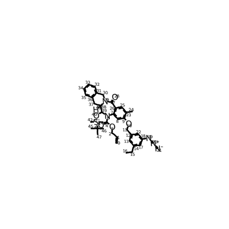 C=CCOC(=O)N1c2cc(OCc3cc(CC)cc(N=[N+]=[N-])c3)c(C)cc2C(=O)N2Cc3ccccc3C[C@H]2C1O[Si](C)(C)C(C)(C)C